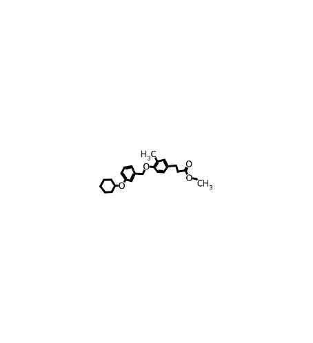 CCOC(=O)CCc1ccc(OCc2cccc(OC3CCCCC3)c2)c(C)c1